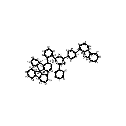 c1ccc(-c2nc(-c3ccc(-c4cccc5c4sc4ccccc45)cc3)nc(-c3ccccc3-c3cccc4c3-c3ccccc3C43c4ccccc4-c4ccccc43)n2)cc1